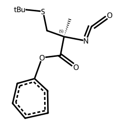 CC(C)(C)SC[C@@](C)(N=C=O)C(=O)Oc1ccccc1